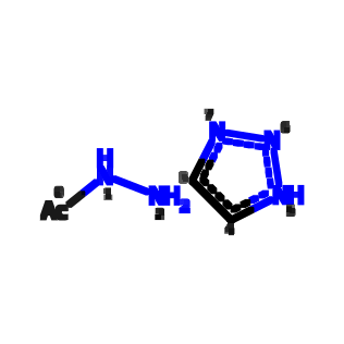 CC(=O)NN.c1c[nH]nn1